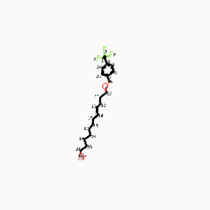 FC(F)(F)c1ccc(COCCCCCCCCCCCCBr)cc1